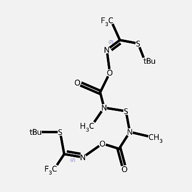 CN(SN(C)C(=O)O/N=C(\SC(C)(C)C)C(F)(F)F)C(=O)O/N=C(\SC(C)(C)C)C(F)(F)F